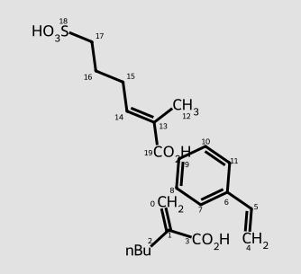 C=C(CCCC)C(=O)O.C=Cc1ccccc1.CC(=CCCCS(=O)(=O)O)C(=O)O